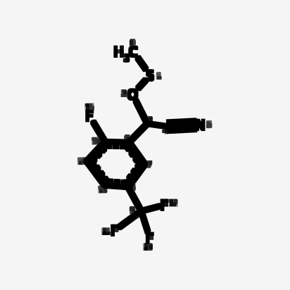 CSOC(C#N)c1cc(C(F)(F)F)ccc1F